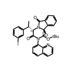 CC(c1cccc(I)c1)[C@@H](C(=O)N(C(=O)OC(C)(C)C)c1cccc2cccnc12)N1C(=O)c2ccccc2C1=O